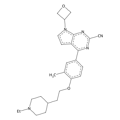 CCN1CCC(CCOc2ccc(-c3nc(C#N)nc4c3ccn4C3COC3)cc2C)CC1